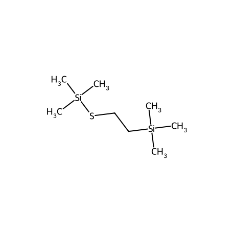 C[Si](C)(C)CCS[Si](C)(C)C